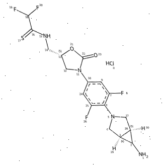 Cl.NC1[C@H]2CN(c3c(F)cc(N4C[C@H](CNC(=S)C(F)F)OC4=O)cc3F)C[C@@H]12